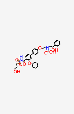 O=C(NS(=O)(=O)CCCO)c1ccc(-c2ccc(OCCN(C[C@@H](O)c3ccccc3)C(=O)O)cc2)cc1OC1CCCCC1